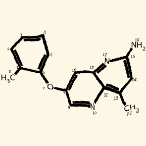 Cc1ccccc1Oc1cnc2c(C)cc(N)nc2c1